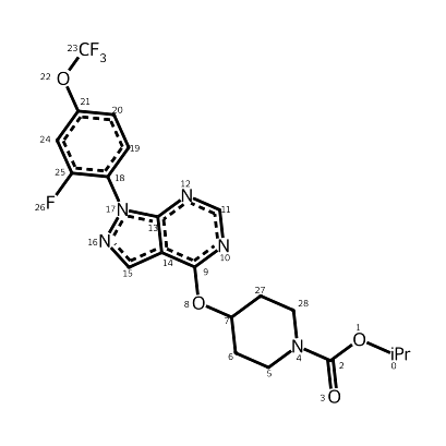 CC(C)OC(=O)N1CCC(Oc2ncnc3c2cnn3-c2ccc(OC(F)(F)F)cc2F)CC1